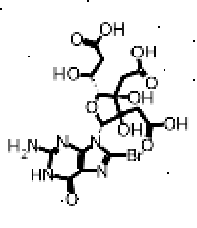 Nc1nc2c(nc(Br)n2[C@@H]2O[C@H](C(O)CC(=O)O)[C@](O)(CC(=O)O)[C@]2(O)CC(=O)O)c(=O)[nH]1